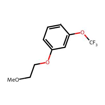 COCCOc1cc[c]c(OC(F)(F)F)c1